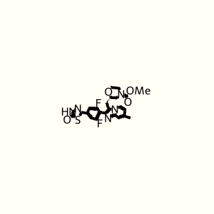 COC(=O)N1CCO[C@@H](Cc2c(-c3c(F)cc(-c4n[nH]c(=O)s4)cc3F)nc3cc(C)ccn23)C1